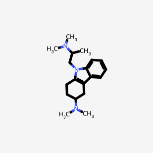 CC(Cn1c2c(c3ccccc31)CC(N(C)C)CC2)N(C)C